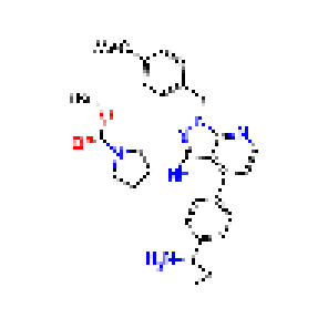 COc1ccc(Cn2nc(N[C@@H]3CCN(C(=O)OC(C)(C)C)C3)c3c(-c4ccc(C5(N)CC5)cc4)ccnc32)cc1